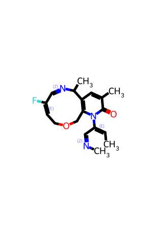 C/C=C(\C=N/C)n1c2c(cc(C)c1=O)C(C)/N=C\C(F)=C/COC2